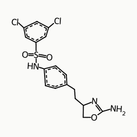 NC1=NC(CCc2ccc(NS(=O)(=O)c3cc(Cl)cc(Cl)c3)cc2)CO1